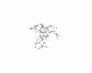 Cn1nc(C(=O)O)c2cc(N3C4CC[C@H]3CC(OCc3c(-c5ccccc5OC(F)(F)F)noc3C3CC3)C4)ccc21